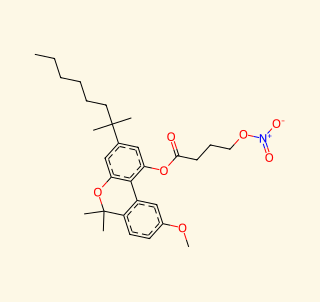 CCCCCCC(C)(C)c1cc(OC(=O)CCCO[N+](=O)[O-])c2c(c1)OC(C)(C)c1ccc(OC)cc1-2